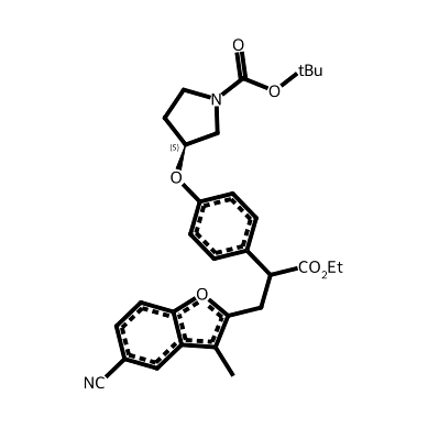 CCOC(=O)C(Cc1oc2ccc(C#N)cc2c1C)c1ccc(O[C@H]2CCN(C(=O)OC(C)(C)C)C2)cc1